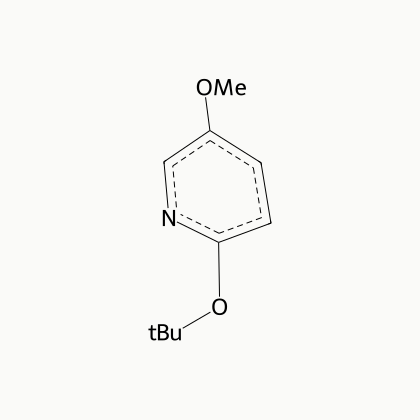 COc1ccc(OC(C)(C)C)nc1